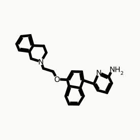 Nc1cccc(-c2ccc(OCCN3CCc4ccccc4C3)c3ccccc23)n1